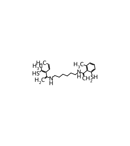 C=C(NCCCCCCNC(=C)c1c(C)cccc1S)C(/C=C\C)=C(/C)S